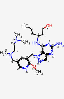 CCC[C@@H](CCO)Nc1nc(N)nc2cnn(Cc3cc(CN(C)CCN(C)C)cnc3OC)c12